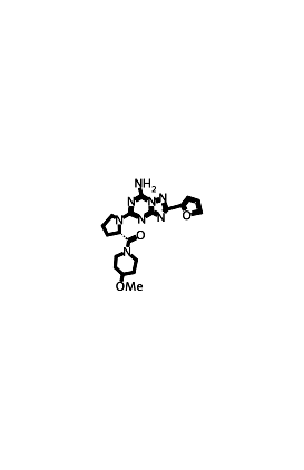 COC1CCN(C(=O)[C@@H]2CCCN2c2nc(N)n3nc(-c4ccco4)nc3n2)CC1